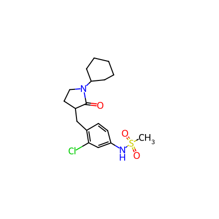 CS(=O)(=O)Nc1ccc(CC2CCN(C3CCCCC3)C2=O)c(Cl)c1